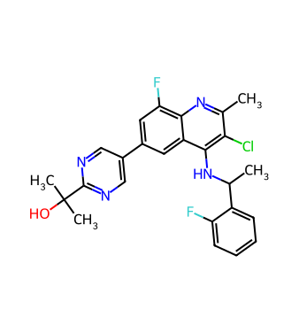 Cc1nc2c(F)cc(-c3cnc(C(C)(C)O)nc3)cc2c(NC(C)c2ccccc2F)c1Cl